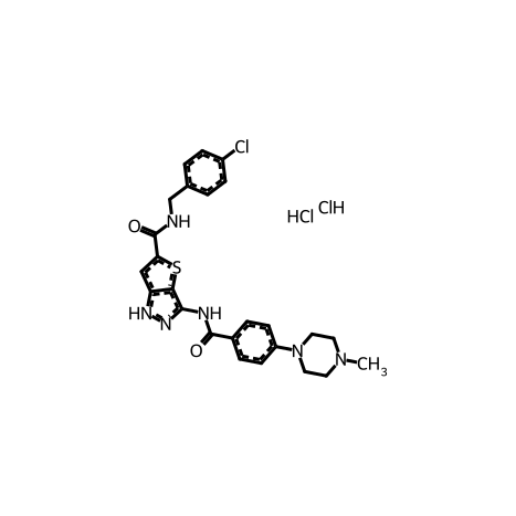 CN1CCN(c2ccc(C(=O)Nc3n[nH]c4cc(C(=O)NCc5ccc(Cl)cc5)sc34)cc2)CC1.Cl.Cl